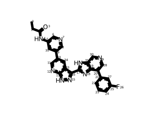 CCC(=O)Nc1cncc(-c2cnc3[nH]nc(-c4nc5c(-c6cccc(F)c6)cncc5[nH]4)c3c2)c1